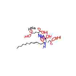 CCCCCCCCCCCC(=O)N[C@@H](CCC(=O)O)C(=O)O.N[C@@H](CCC(=O)O)C(=O)O.[NaH]